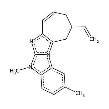 C=CC1CC=Cc2nc3n(C)c4ccc(C)cc4n3c2C1